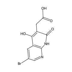 O=C(O)Cc1c(O)c2cc(Br)cnc2[nH]c1=O